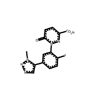 Cn1nncc1-c1ccc(F)c(-n2nc(C(=O)O)ccc2=O)c1